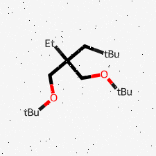 CCC(COC(C)(C)C)(COC(C)(C)C)CC(C)(C)C